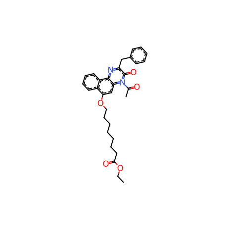 CCOC(=O)CCCCCCCOc1cc2c(nc(Cc3ccccc3)c(=O)n2C(C)=O)c2ccccc12